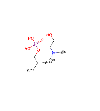 CCCCCCCCC(CCCCCC)COP(=O)(O)O.CCCCN(CCO)CCCC